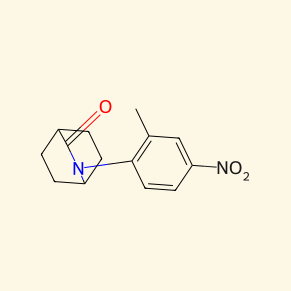 Cc1cc([N+](=O)[O-])ccc1N1C(=O)C2CCC1CC2